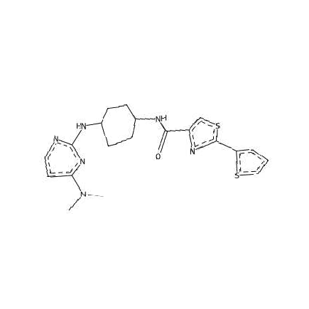 CN(C)c1ccnc(NC2CCC(NC(=O)c3csc(-c4cccs4)n3)CC2)n1